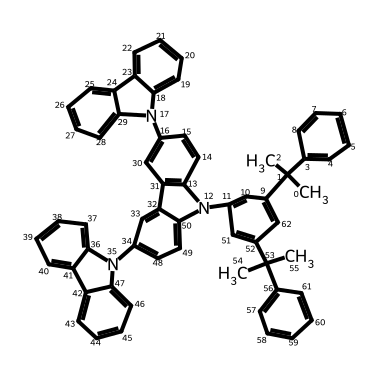 CC(C)(c1ccccc1)c1cc(-n2c3ccc(-n4c5ccccc5c5ccccc54)cc3c3cc(-n4c5ccccc5c5ccccc54)ccc32)cc(C(C)(C)c2ccccc2)c1